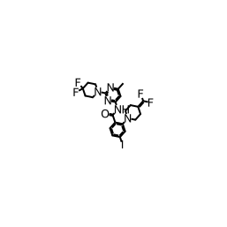 Cc1cc(NC(=O)c2ccc(I)cc2N2CCC(=C(F)F)CC2)nc(N2CCC(F)(F)CC2)n1